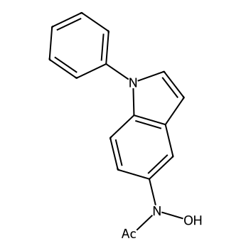 CC(=O)N(O)c1ccc2c(ccn2-c2ccccc2)c1